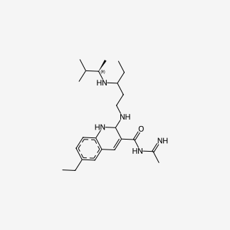 CCc1ccc2c(c1)C=C(C(=O)NC(C)=N)C(NCCC(CC)N[C@H](C)C(C)C)N2